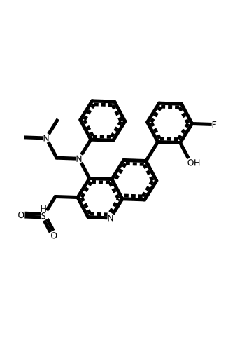 CN(C)CN(c1ccccc1)c1c(C[SH](=O)=O)cnc2ccc(-c3cccc(F)c3O)cc12